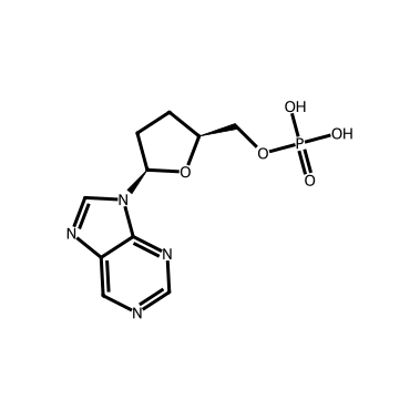 O=P(O)(O)OC[C@@H]1CC[C@H](n2cnc3cncnc32)O1